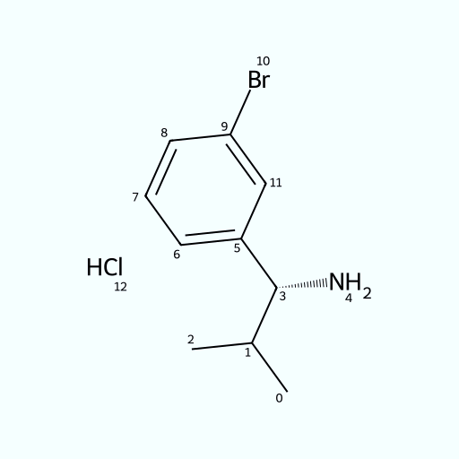 CC(C)[C@@H](N)c1cccc(Br)c1.Cl